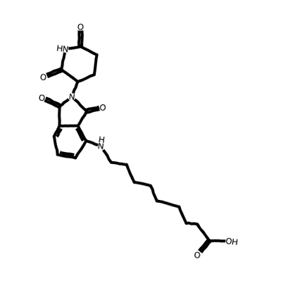 O=C(O)CCCCCCCCNc1cccc2c1C(=O)N(C1CCC(=O)NC1=O)C2=O